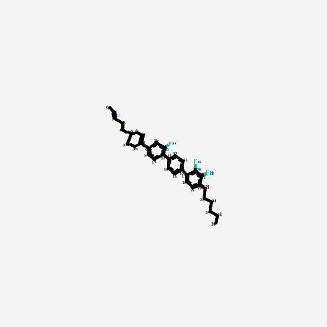 C/C=C/CCC1CC=C(c2ccc(-c3ccc(-c4ccc(CCCCCC)c(F)c4F)cc3)c(F)c2)CC1